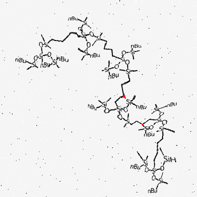 CCCC[Si](C)(C)O[Si](CCCC[Si](C)(C)O[Si](CCCC[Si](C)(C)O[Si](CCCC[Si](C)(C)O[Si](CCCC[Si](C)(C)O[Si](CCCC[Si](C)(C)O[Si](CCCC)(O[Si](C)(C)CCCC)O[Si](C)(C)CCCC)(O[Si](C)(C)CCCC)O[Si](C)(C)CCCC)(O[Si](C)(C)CCCC)O[Si](C)(C)CCCC)(O[Si](C)(C)CCCC)O[Si](C)(C)CCCC)(O[Si](C)(C)CCCC)O[Si](C)(C)CCCC)(O[SiH](C)C)O[Si](C)(C)CCCC